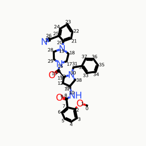 COc1ccccc1C(=O)N[C@H]1C[C@@H](C(=O)N2CCN(c3ccccc3C#N)CC2)N(Cc2ccccc2)C1